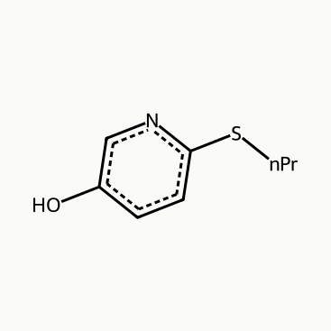 CCCSc1ccc(O)cn1